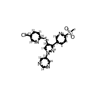 CS(=O)(=O)c1ccc(-c2nn(-c3cncnc3)cc2Sc2ccc(Cl)cn2)cn1